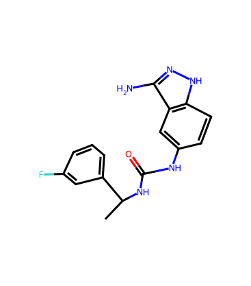 CC(NC(=O)Nc1ccc2[nH]nc(N)c2c1)c1cccc(F)c1